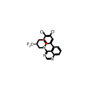 FC(F)(F)[C@H]1CCCN(c2ncnc3cccc(-c4ccc(Cl)c(Cl)c4)c23)C1